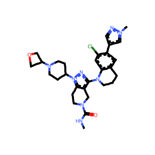 CNC(=O)N1CCc2c(c(N3CCCc4cc(-c5cnn(C)c5)c(Cl)cc43)nn2C2CCN(C3COC3)CC2)C1